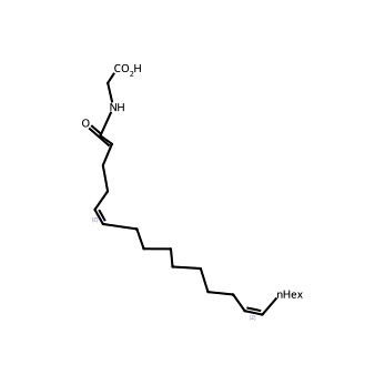 CCCCCC/C=C\CCCCCCC/C=C\CCCC(=O)NCC(=O)O